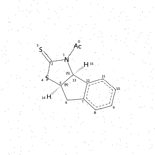 CC(=O)N1C(=S)S[C@@H]2Cc3ccccc3[C@@H]21